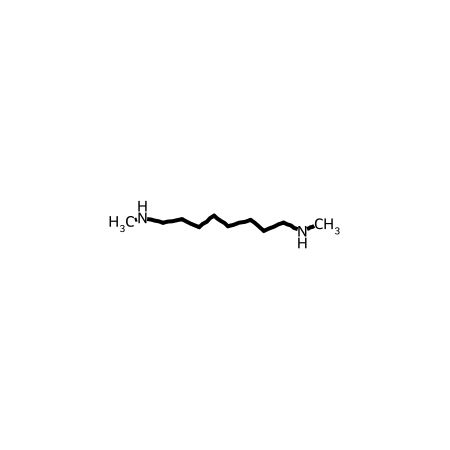 CNCCCCCCCCNC